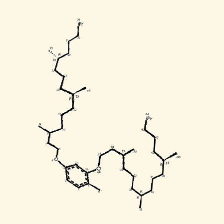 [CH2]c1ccc(OCCC(C)CCC[C@H](C)CCC[C@H](C)CCCC(C)C)cc1OCCC(C)CCC[C@H](C)CCC[C@H](C)CCCC(C)C